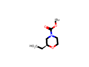 CC(C)(C)OC(=O)N1CCO[C@@H](CC(=O)O)C1